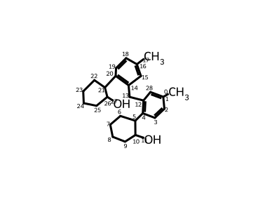 Cc1ccc(C2CCCCC2O)c(Cc2cc(C)ccc2C2CCCCC2O)c1